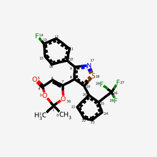 CC1(C)OC(=O)C=C(c2c(-c3ccc(F)cc3)nsc2-c2ccccc2C(F)(F)F)O1